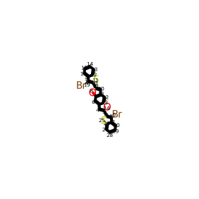 Brc1c(-c2cc3cc4oc(-c5sc6ccccc6c5Br)cc4cc3o2)sc2ccccc12